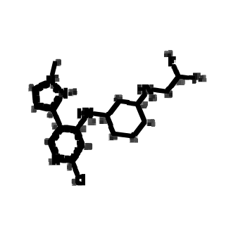 Cn1ccc(-c2cnc(Cl)cc2NC2CCCC(NCC(F)F)C2)n1